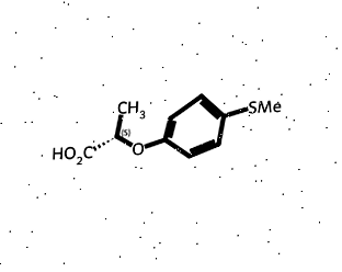 CSc1ccc(O[C@@H](C)C(=O)O)cc1